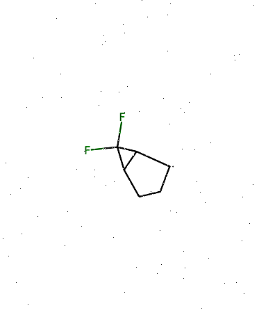 FC1(F)C2[CH]CCC21